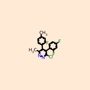 Cc1ccc(-c2c(C)nnc(Cl)c2-c2c(F)cc(F)cc2F)cc1